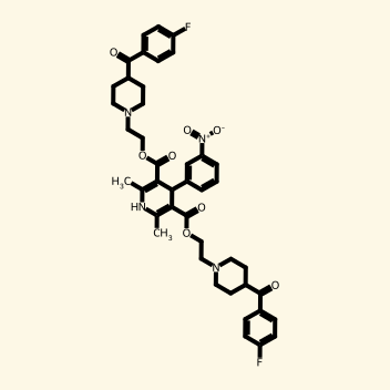 CC1=C(C(=O)OCCN2CCC(C(=O)c3ccc(F)cc3)CC2)C(c2cccc([N+](=O)[O-])c2)C(C(=O)OCCN2CCC(C(=O)c3ccc(F)cc3)CC2)=C(C)N1